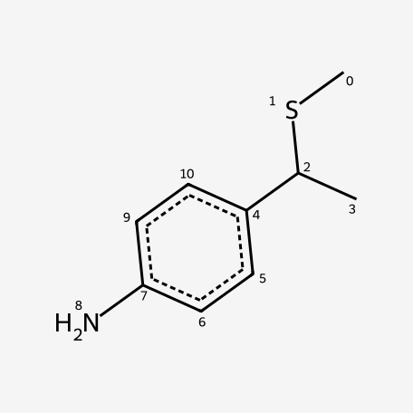 CSC(C)c1ccc(N)cc1